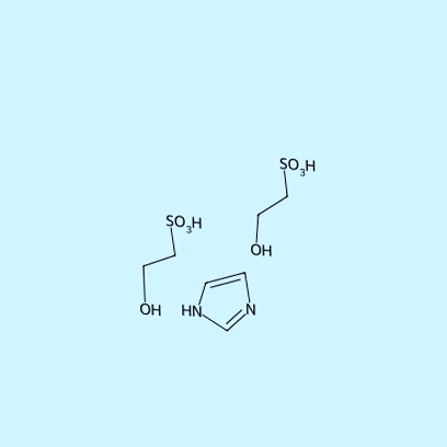 O=S(=O)(O)CCO.O=S(=O)(O)CCO.c1c[nH]cn1